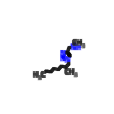 CCCCCCC(C)Cn1cc(CNC)nn1